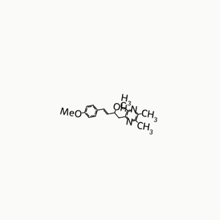 COc1ccc(C=CC(O)Cc2nc(C)c(C)nc2C)cc1